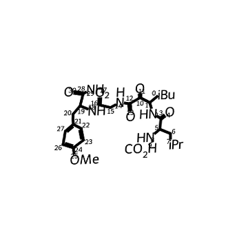 CCC(C)C(NC(=O)C(CC(C)C)NC(=O)O)C(=O)C(=O)NCC(=O)NC(Cc1ccc(OC)cc1)C(N)=O